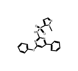 Cn1nccc1S(=O)(=O)Nc1nc(Oc2ccccc2)cc(-c2ccccc2)n1